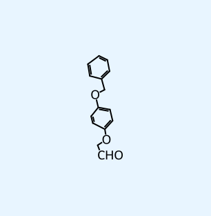 O=CCOc1ccc(OCc2ccccc2)cc1